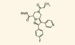 C=CC(=O)N1Cc2c(-c3ccncc3)c(-c3ccc(F)cc3)nn2C(C(=O)NC)C1